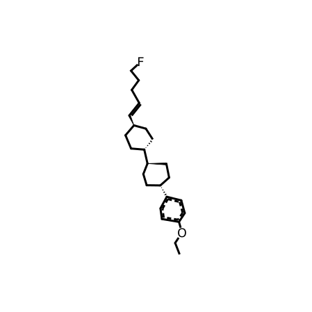 CCOc1ccc([C@H]2CC[C@H]([C@H]3CC[C@H](C=CCCCF)CC3)CC2)cc1